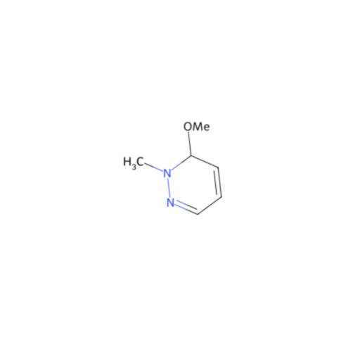 COC1C=CC=NN1C